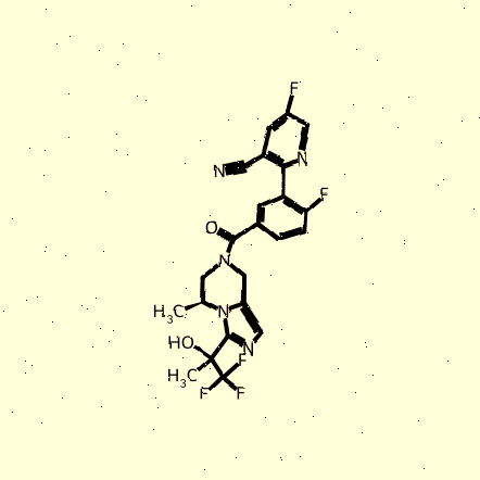 C[C@H]1CN(C(=O)c2ccc(F)c(-c3ncc(F)cc3C#N)c2)Cc2cnc(C(C)(O)C(F)(F)F)n21